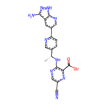 C[C@@H](Nc1ncc(C#N)nc1C(=O)O)c1ccc(-c2cnc3[nH]nc(N)c3c2)nc1